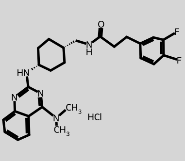 CN(C)c1nc(N[C@H]2CC[C@@H](CNC(=O)CCc3ccc(F)c(F)c3)CC2)nc2ccccc12.Cl